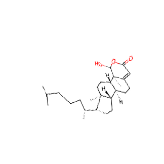 CC(C)CCC[C@@H](C)[C@H]1CC[C@H]2[C@@H]3CCC4=CC(=O)OC(O)[C@]4(C)[C@H]3CC[C@]12C